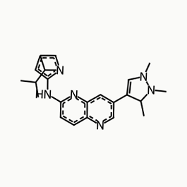 CC(C)C1c2cc(Nc3ccc4ncc(C5=CN(C)N(C)C5C)cc4n3)n1c2